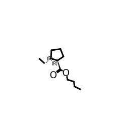 CCCCOC(=O)[C@@H]1CCC[C@H]1CC